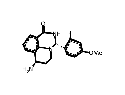 COc1ccc([C@H]2NC(=O)c3cccc4c3N2CC[C@H]4N)c(C)c1